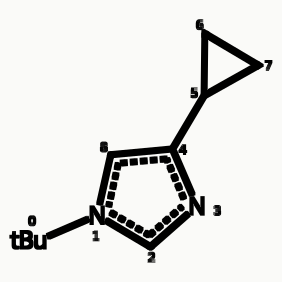 CC(C)(C)n1cnc(C2CC2)c1